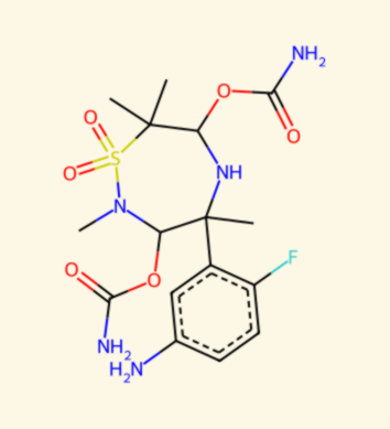 CN1C(OC(N)=O)C(C)(c2cc(N)ccc2F)NC(OC(N)=O)C(C)(C)S1(=O)=O